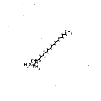 CCCCCCCCCCCCCCCCC[CH][Ge]([CH3])([CH3])[CH3]